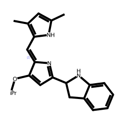 Cc1cc(C)c(/C=C2\N=C(C3Cc4ccccc4N3)C=C2OC(C)C)[nH]1